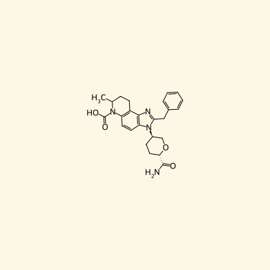 CC1CCc2c(ccc3c2nc(Cc2ccccc2)n3[C@@H]2CC[C@@H](C(N)=O)OC2)N1C(=O)O